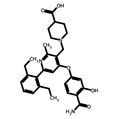 CCc1cccc(CC)c1-c1cc(Oc2ccc(C(N)=O)c(O)c2)c(CN2CCC(C(=O)O)CC2)c(C)n1